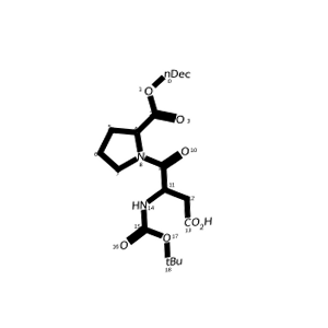 CCCCCCCCCCOC(=O)C1CCCN1C(=O)C(CC(=O)O)NC(=O)OC(C)(C)C